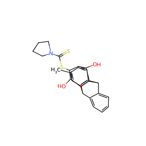 Cc1ccc2c(c1)C1c3ccccc3C2c2c(O)cc(SC(=S)N3CCCC3)c(O)c21